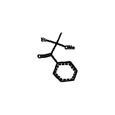 [CH2]CC(C)(OC)C(=O)c1ccccc1